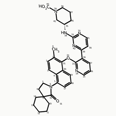 Cc1ccc2c(N3CCC4(CCCCC4)C3=O)cccc2c1Oc1ncccc1-c1ccnc(N[C@H]2CCCN(C(=O)O)C2)n1